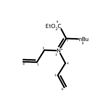 C=CC[N+](CC=C)=C(CCCC)C(=O)OCC